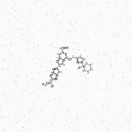 COc1cc(OCc2csc(C3(F)CCCCC3)n2)c2cc(-c3cn4nc([C@H](C)F)sc4n3)oc2c1